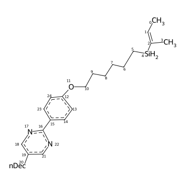 CC=C(C)[SiH2]CCCCCCOc1ccc(-c2ncc(CCCCCCCCCC)cn2)cc1